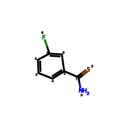 NC(=S)c1cccc(F)c1